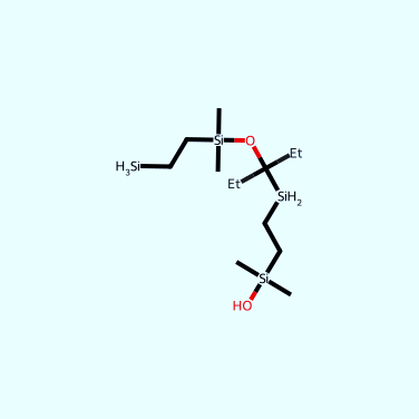 CCC(CC)(O[Si](C)(C)CC[SiH3])[SiH2]CC[Si](C)(C)O